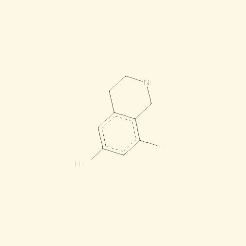 Cc1cc2c(c(C(F)(F)F)c1)CNCC2